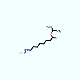 CCCCCCCCNCCCCCCCC(=O)OC(C)CCCCCCCC